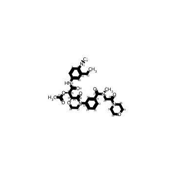 [C-]#[N+]c1ccc(NC(=O)[C@H](OC(C)=O)[C@H]2OCCN(c3cccc(C(=O)N(C)CC(=O)N4CCOCC4)c3)C2=O)cc1CC